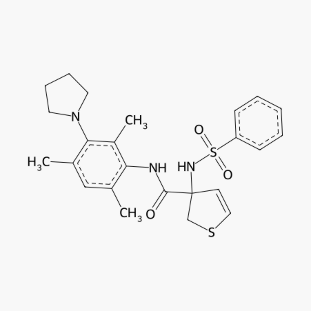 Cc1cc(C)c(N2CCCC2)c(C)c1NC(=O)C1(NS(=O)(=O)c2ccccc2)C=CSC1